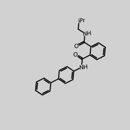 CC(C)CNC(=O)c1ccccc1C(=O)Nc1ccc(-c2ccccc2)cc1